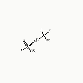 O=NC(F)(F)Br.O=S(=O)(F)C(F)(F)F